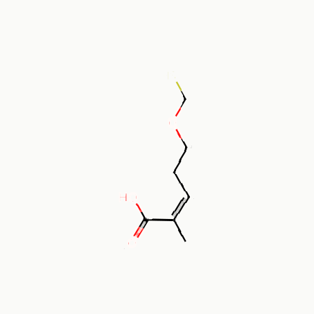 CC(=CCCOCS)C(=O)O